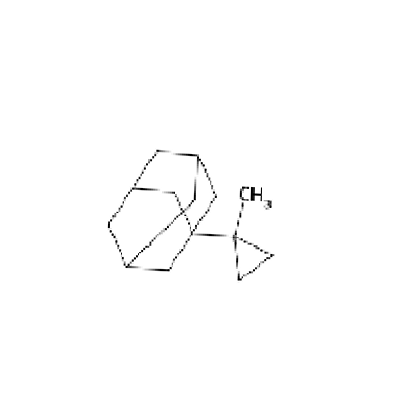 CC1(C23CC4CC(CC(C4)C2)C3)CC1